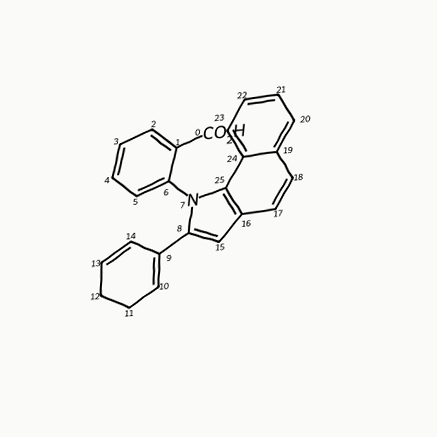 O=C(O)c1ccccc1-n1c(C2=CCCC=C2)cc2ccc3ccccc3c21